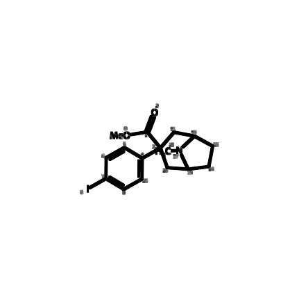 COC(=O)C1(c2ccc(I)cc2)CC2CCC(C1)N2C